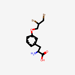 NC(Cc1cccc(OCC(Br)CBr)c1)C(=O)O